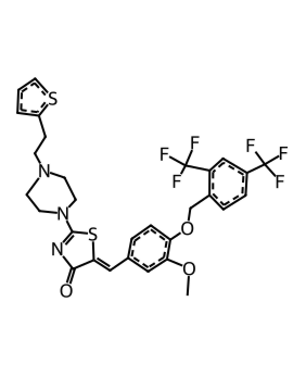 COc1cc(/C=C2\SC(N3CCN(CCc4cccs4)CC3)=NC2=O)ccc1OCc1ccc(C(F)(F)F)cc1C(F)(F)F